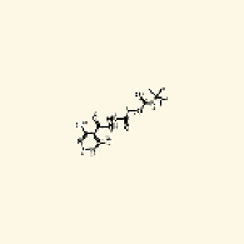 CC(C)(C)NC(=O)OCC(=O)NNC(=O)c1c(Cl)ncnc1Cl